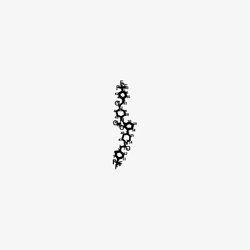 O=C(Cc1ccc(C(F)(F)F)cc1)N1CCC(c2cccc3c2oc(=O)n3C2CCN(C(=O)Cc3ccc(C(F)(F)F)cc3)CC2)CC1